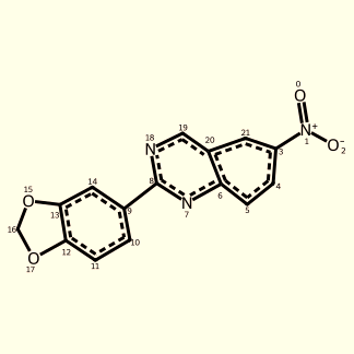 O=[N+]([O-])c1ccc2nc(-c3ccc4c(c3)OCO4)ncc2c1